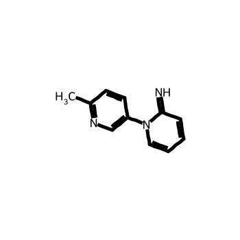 Cc1ccc(-n2ccccc2=N)cn1